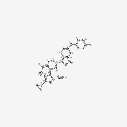 Cc1ccc(Oc2ccc3c(-c4ccc(C(C)O)c(-n5nc(C6CC6)cc5C#N)n4)cnn3c2)nn1